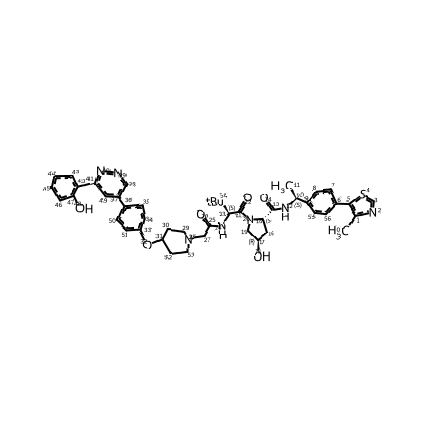 Cc1ncsc1-c1ccc([C@H](C)NC(=O)[C@@H]2C[C@@H](O)CN2C(=O)[C@@H](NC(=O)CN2CCC(Oc3ccc(-c4cnnc(-c5ccccc5O)c4)cc3)CC2)C(C)(C)C)cc1